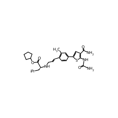 Cc1cc(-c2cc(C(N)=O)c(NC(N)=O)s2)ccc1C=CCN[C@@H](CC(C)C)C(=O)OC1CCCC1